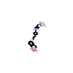 CN(C)Cc1cnc(-c2ccc(CCCOc3ccc4c(c3)CCN(S(C)(=O)=O)C4)cc2)nc1